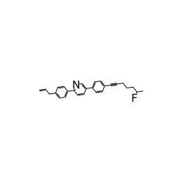 C=CCc1ccc(-c2ccc(-c3ccc(C#CCCCC(C)F)cc3)cn2)cc1